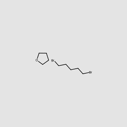 BrCCCCCBr.C1CCOC1